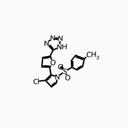 Cc1ccc(S(=O)(=O)n2ccc(Cl)c2-c2ccc(-c3nnn[nH]3)o2)cc1